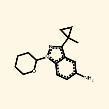 CC1(c2nn(C3CCCCO3)c3ccc(N)cc23)CC1